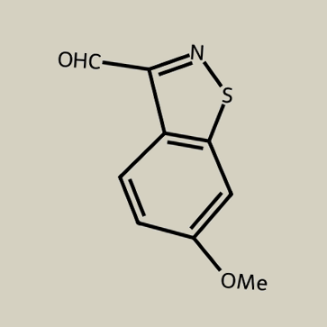 COc1ccc2c(C=O)nsc2c1